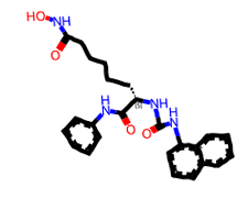 O=C(CCCCC[C@H](NC(=O)Nc1cccc2ccccc12)C(=O)Nc1ccccc1)NO